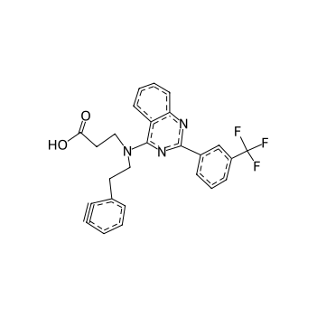 O=C(O)CCN(CCc1c#cccc1)c1nc(-c2cccc(C(F)(F)F)c2)nc2ccccc12